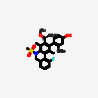 COc1cc(O)ccc1-c1c(C)c2c(c(C)c1[C@H](OC(C)(C)C)C(=O)O)N(S(C)(=O)=O)Cc1cccc(F)c1-2